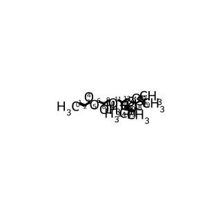 CC=CC(=O)OCC(O)COCCC[SiH](O[Si](C)(C)C)O[Si](C)(C)C